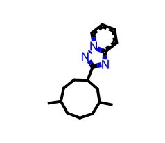 CC1CCCC(C)CC(c2nc3ccccn3n2)CC1